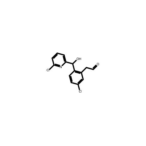 O=CCc1cc(Cl)ccc1C(O)c1cccc(Cl)n1